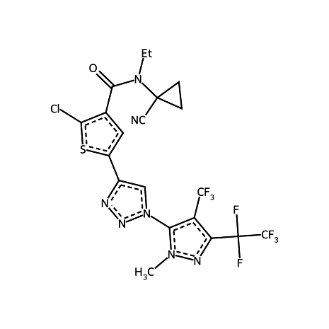 CCN(C(=O)c1cc(-c2cn(-c3c(C(F)(F)F)c(C(F)(F)C(F)(F)F)nn3C)nn2)sc1Cl)C1(C#N)CC1